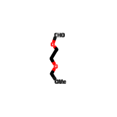 COCOCCOC=O